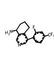 NC1CCCc2c(-c3ccc(C(F)(F)F)cc3F)cncc21